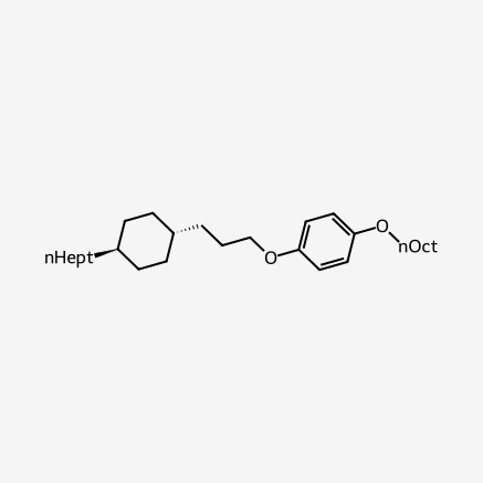 CCCCCCCCOc1ccc(OCCC[C@H]2CC[C@H](CCCCCCC)CC2)cc1